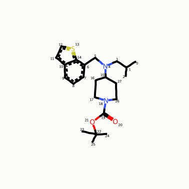 CC(C)CN(Cc1cccc2ccsc12)C1CCN(C(=O)OC(C)(C)C)CC1